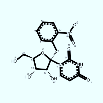 O=c1ccn([C@]2(Cc3ccccc3[N+](=O)[O-])O[C@H](CO)[C@@H](O)[C@H]2O)c(=O)[nH]1